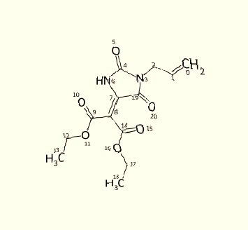 C=CCN1C(=O)NC(=C(C(=O)OCC)C(=O)OCC)C1=O